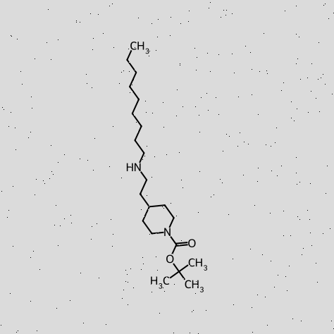 CCCCCCCCCNCCC1CCN(C(=O)OC(C)(C)C)CC1